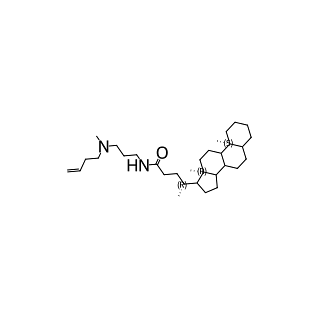 C=CCCN(C)CCCNC(=O)CC[C@@H](C)C1CCC2C3CCC4CCCC[C@]4(C)C3CC[C@@]21C